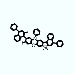 Cc1cc(-c2ccccc2)c2ccccc2c1-c1cc2c(cc1I)Oc1cc3c(cc1N2c1ccccc1)-c1c(cc(-c2ccccc2)c2ccccc12)[Si]3(C)C